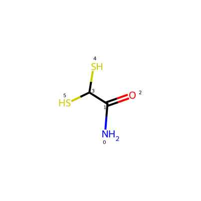 NC(=O)C(S)S